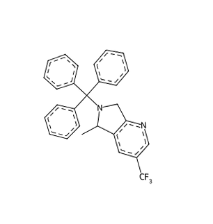 CC1c2cc(C(F)(F)F)cnc2CN1C(c1ccccc1)(c1ccccc1)c1ccccc1